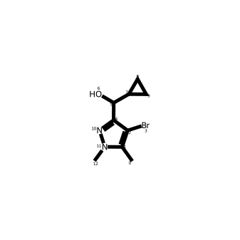 Cc1c(Br)c(C(O)C2CC2)nn1C